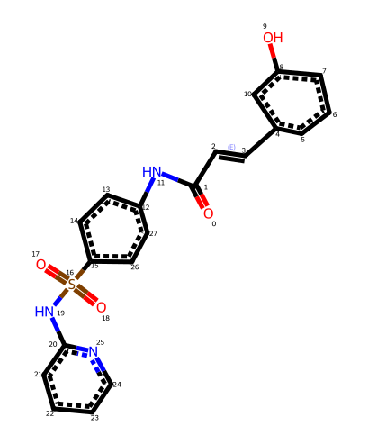 O=C(/C=C/c1cccc(O)c1)Nc1ccc(S(=O)(=O)Nc2ccccn2)cc1